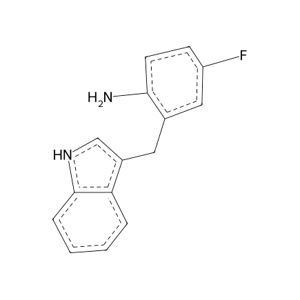 Nc1ccc(F)cc1Cc1c[nH]c2ccccc12